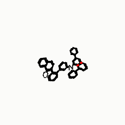 c1ccc(-c2cccc(N(c3cccc(-c4cccc5oc6c7ccccc7ccc6c45)c3)c3ccccc3-c3ccccc3)c2)cc1